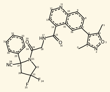 Cc1noc(C)c1-c1ccc2nccc(C(=O)NCC(=O)N3CC(F)(F)CC3(C#N)c3ccccc3)c2c1